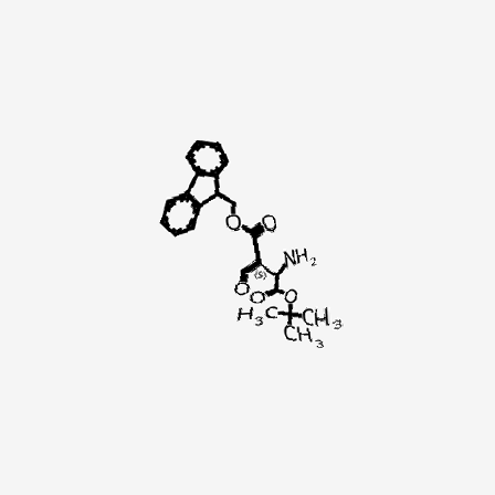 CC(C)(C)OC(=O)C(N)[C@@H](C=O)C(=O)OCC1c2ccccc2-c2ccccc21